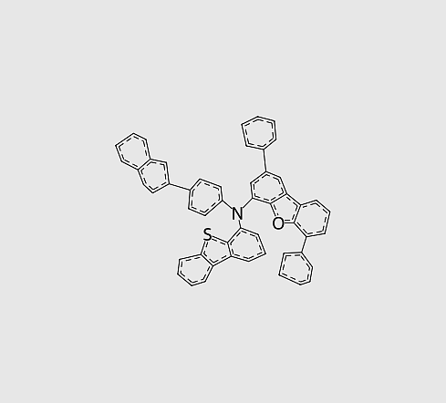 c1ccc(-c2cc(N(c3ccc(-c4ccc5ccccc5c4)cc3)c3cccc4c3sc3ccccc34)c3oc4c(-c5ccccc5)cccc4c3c2)cc1